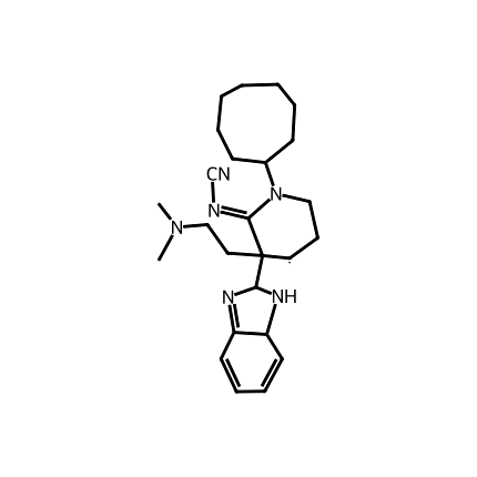 CN(C)CCC1(C2N=C3C=CC=CC3N2)[CH]CCN(C2CCCCCCC2)C1=NC#N